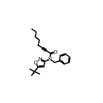 CCCCCC#CC(=O)N(Cc1ccccc1)c1cc(C(C)(C)C)on1